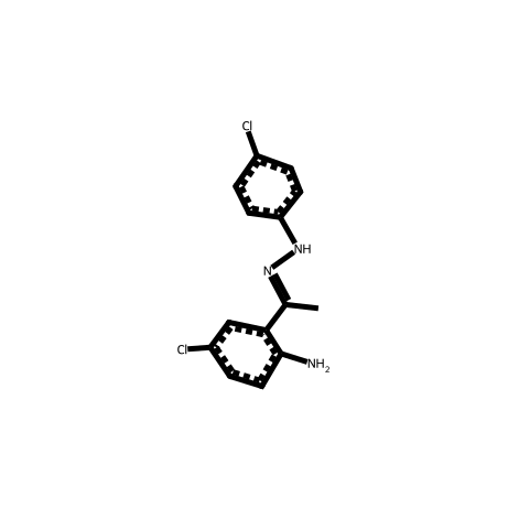 C/C(=N\Nc1ccc(Cl)cc1)c1cc(Cl)ccc1N